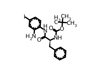 CC(C)(C)OC(=O)N[C@@H](Cc1ccccc1)C(=O)Nc1ccc(I)cc1N